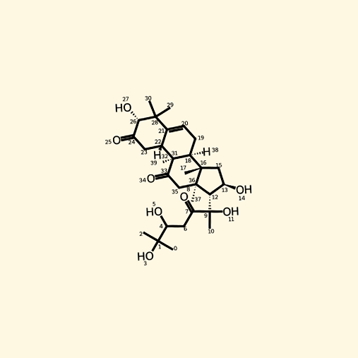 CC(C)(O)C(O)CC(=O)C(C)(O)[C@H]1[C@H](O)C[C@@]2(C)[C@@H]3CC=C4[C@@H](CC(=O)[C@H](O)C4(C)C)[C@]3(C)C(=O)C[C@]12C